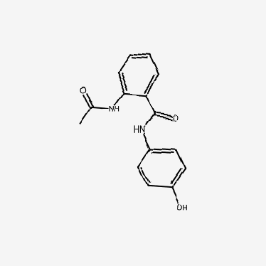 CC(=O)Nc1ccccc1C(=O)Nc1ccc(O)cc1